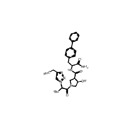 COCc1cn(C(C(=O)N2CC(C(=O)NC(Cc3ccc(-c4ccccc4)cc3)C(N)=O)[C@@H](O)C2)C(C)(C)C)nn1